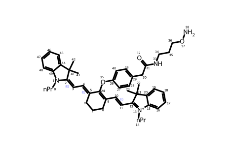 CCCN1/C(=C/C=C2\CCCC(/C=C/C3=[N+](CCC)c4ccccc4C3(C)C)=C2Oc2ccc(CC(=O)NCCCON)cc2)C(C)(C)c2ccccc21